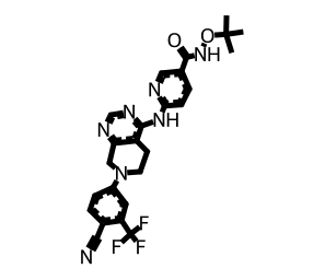 CC(C)(C)ONC(=O)c1ccc(Nc2ncnc3c2CCN(c2ccc(C#N)c(C(F)(F)F)c2)C3)nc1